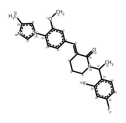 COc1cc(C=C2CCCN(C(C)c3ccc(F)cc3F)C2=O)ccc1-n1cnc(C)c1